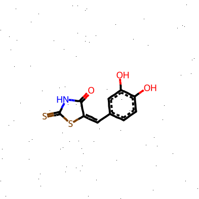 O=C1NC(=S)SC1=Cc1ccc(O)c(O)c1